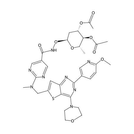 COc1ccc(-c2nc(N3CCOCC3)c3sc(CN(C)c4ncc(C(=O)NO[C@H]5C[C@H](OC(C)=O)[C@@H](OC(C)=O)[C@H](C)O5)cn4)cc3n2)cn1